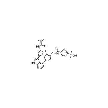 CN(C)C(=O)NC1CCN(c2n[nH]c3nccc(-c4ccc(CNC(=O)c5ccc(C(C)(C)O)cn5)c(F)c4)c23)C1